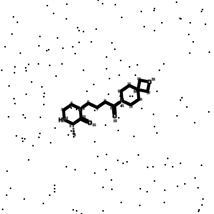 C[C@@H]1NCCN(CCCC(=O)N2CCC3(CC2)COC3)C1=O